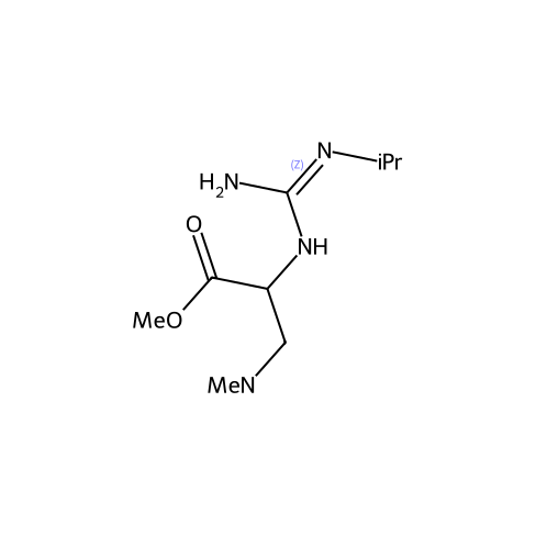 CNCC(N/C(N)=N\C(C)C)C(=O)OC